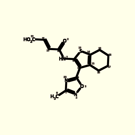 Cc1noc(-c2c(NC(=O)C=CC(=O)O)sc3c2CCCC3)n1